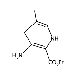 CCOC(=O)C1=C(N)CC(C)=CN1